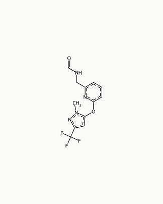 Cn1nc(C(F)(F)F)cc1Oc1cccc(CNC=O)n1